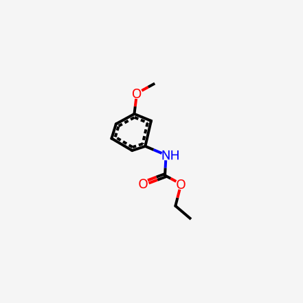 CCOC(=O)Nc1cccc(OC)c1